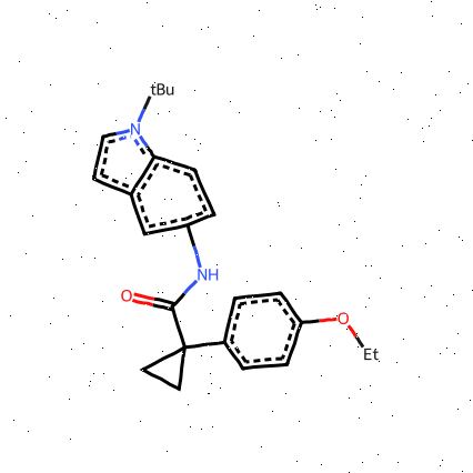 CCOc1ccc(C2(C(=O)Nc3ccc4c(ccn4C(C)(C)C)c3)CC2)cc1